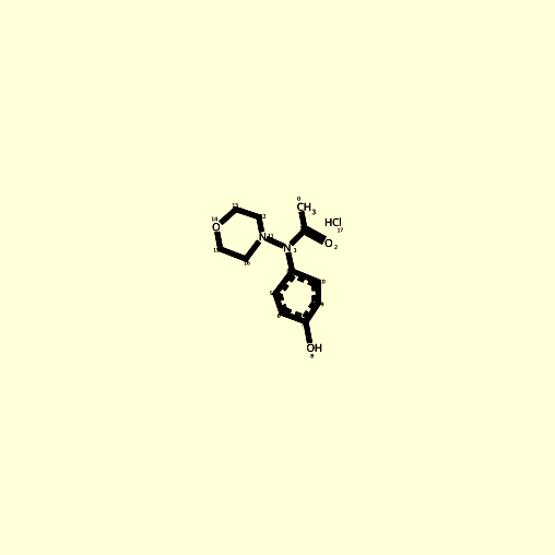 CC(=O)N(c1ccc(O)cc1)N1CCOCC1.Cl